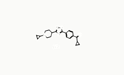 Cl.O=C(c1ccc(-c2nc(C3CCN(C4CC4)CC3)no2)cc1)C1CC1